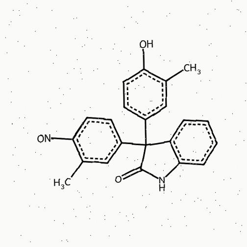 Cc1cc(C2(c3ccc(N=O)c(C)c3)C(=O)Nc3ccccc32)ccc1O